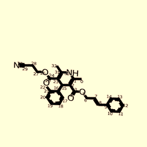 CC1=C(C(=O)OCC=Cc2ccccc2)C(c2ccccc2C)C(C(=O)OCCC#N)=C(C)N1